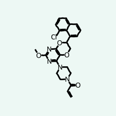 C=CC(=O)N1CCN(c2nc(OC)nc3c2OCC(c2cccc4cccc(Cl)c24)O3)CC1